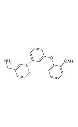 COc1ccccc1Oc1cccc(N2C=C(CN)C=CC2)c1